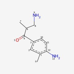 Cc1cc(C(=O)C(C)CN)ccc1N